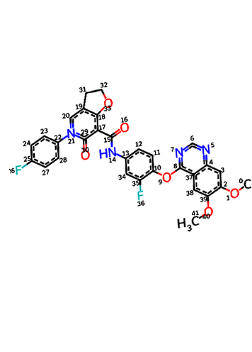 COc1cc2ncnc(Oc3ccc(NC(=O)c4c5c(cn(-c6ccc(F)cc6)c4=O)CCO5)cc3F)c2cc1OC